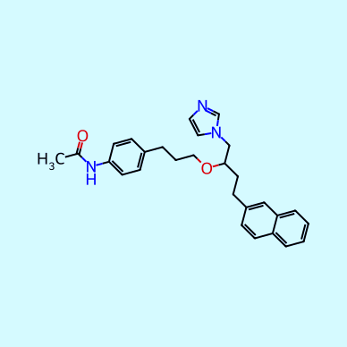 CC(=O)Nc1ccc(CCCOC(CCc2ccc3ccccc3c2)Cn2ccnc2)cc1